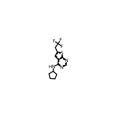 FC(F)(F)Cc1cc2c(NC3CCCC3)ncnc2s1